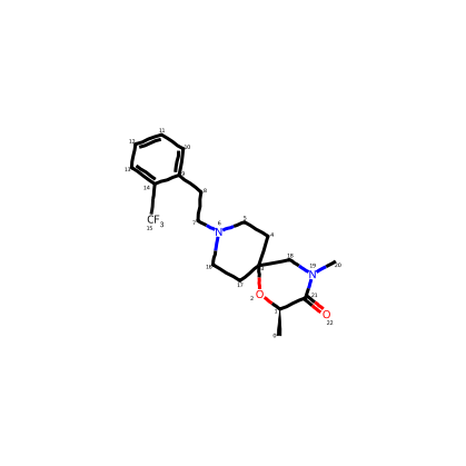 C[C@H]1OC2(CCN(CCc3ccccc3C(F)(F)F)CC2)CN(C)C1=O